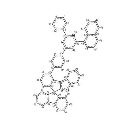 c1ccc(-c2cc(-c3ccc(-c4cccc5c4-c4c(oc6ccccc46)C54c5ccccc5-c5ccccc54)cc3)cc(-c3cccc4ccccc34)n2)cc1